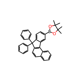 CC1(C)OB(c2ccc3c(c2)-c2c(ccc4ccccc24)C3(c2ccccc2)c2ccccc2)OC1(C)C